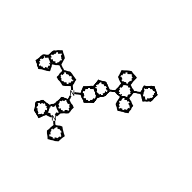 c1ccc(-c2c3ccccc3c(-c3ccc4cc(N(c5ccc(-c6cccc7ccccc67)cc5)c5ccc6c(c5)c5ccccc5n6-c5ccccc5)ccc4c3)c3ccccc23)cc1